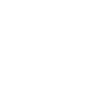 Cc1coc(-c2nc(-c3ccccc3)n(-c3cccc(Cl)c3F)c2-c2ccc(F)c(Cl)c2)n1